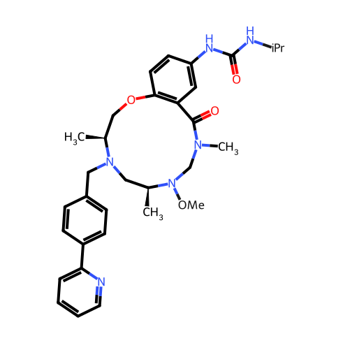 CON1CN(C)C(=O)c2cc(NC(=O)NC(C)C)ccc2OC[C@H](C)N(Cc2ccc(-c3ccccn3)cc2)C[C@@H]1C